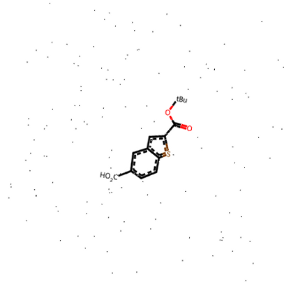 CC(C)(C)OC(=O)c1cc2cc(C(=O)O)ccc2s1